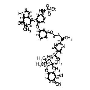 CCS(=O)(=O)Nc1ccc(Oc2cccc(OCCN(C)c3ncc(C(=O)N[C@H]4C(C)(C)[C@H](Oc5ccc(C#N)c(Cl)c5)C4(C)C)cn3)c2)c(-c2cn(C)c(=O)c3[nH]ccc23)c1